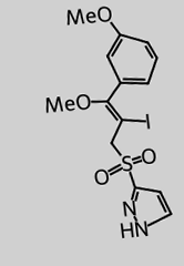 COC(=C(I)CS(=O)(=O)c1cc[nH]n1)c1cccc(OC)c1